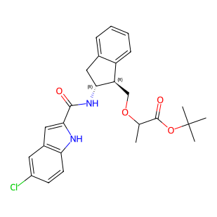 CC(OC[C@@H]1c2ccccc2C[C@H]1NC(=O)c1cc2cc(Cl)ccc2[nH]1)C(=O)OC(C)(C)C